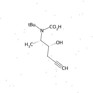 C#CC[C@@H](O)[C@H](C)N(C(=O)O)C(C)(C)C